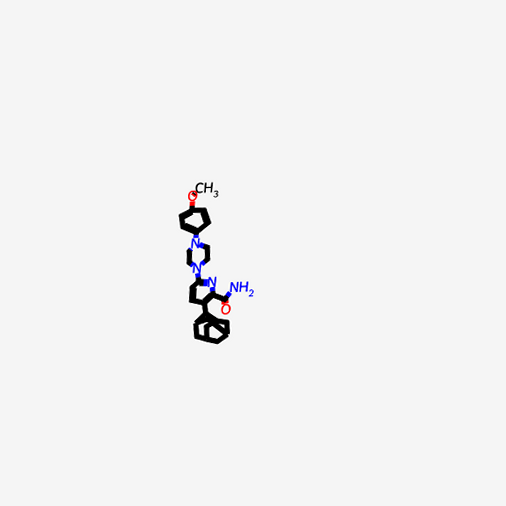 COc1ccc(N2CCN(c3ccc(C4C5CC6CC(C5)CC4C6)c(C(N)=O)n3)CC2)cc1